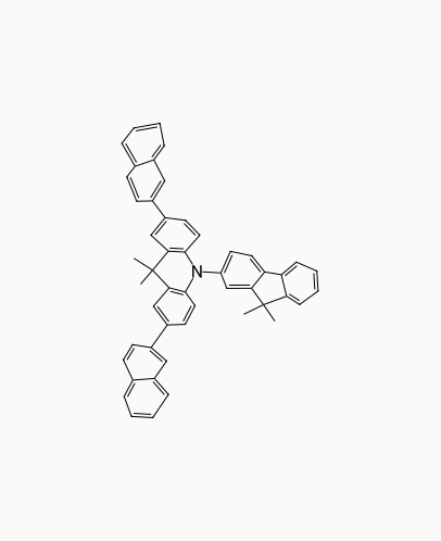 CC1(C)c2ccccc2-c2ccc(N3c4ccc(-c5ccc6ccccc6c5)cc4C(C)(C)c4cc(-c5ccc6ccccc6c5)ccc43)cc21